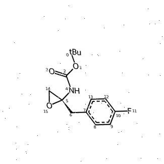 CC(C)(C)OC(=O)N[C@@]1(Cc2ccc(F)cc2)CO1